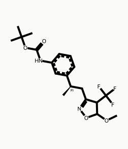 COC1ON=C(C[C@@H](C)c2cccc(NC(=O)OC(C)(C)C)c2)C1C(F)(F)F